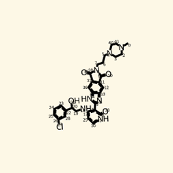 CN1CCN(CCCN2C(=O)c3cc4nc(-c5c(NCC(O)c6cccc(Cl)c6)cc[nH]c5=O)[nH]c4cc3C2=O)CC1